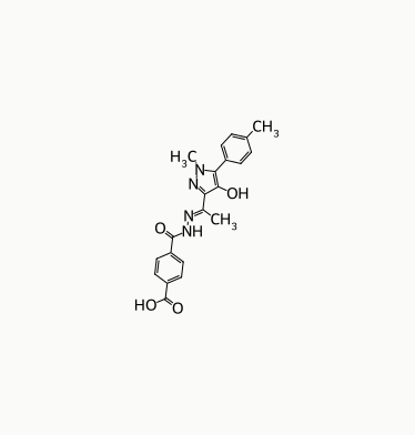 C/C(=N\NC(=O)c1ccc(C(=O)O)cc1)c1nn(C)c(-c2ccc(C)cc2)c1O